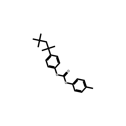 Cc1ccc(OC(=O)Oc2ccc(C(C)(C)CC(C)(C)C)cc2)cc1